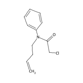 C=CCCN(C(=O)CCl)c1ccccc1